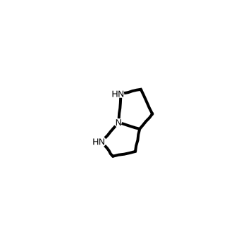 C1CC2CCNN2N1